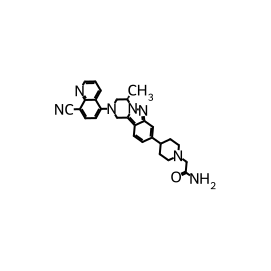 C[C@@H]1CN(c2ccc(C#N)c3ncccc23)Cc2c3ccc(C4CCN(CC(N)=O)CC4)cc3nn21